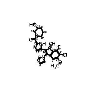 COc1cc2c(-n3ccnc3)c(-c3nnc(C(=O)N4CCCC(O)C4)[nH]3)n(C)c2c(F)c1Cl